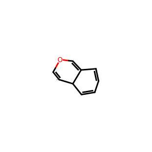 [C]1=COC=C2C=CC=CC12